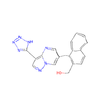 OCc1ccc2ccccc2c1-c1cnc2c(-c3nnn[nH]3)cnn2c1